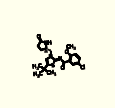 COc1ccc(Cl)cc1C(=O)N=c1sc(C(C)(C)C)cn1C[C@@H]1CCC(=O)N1